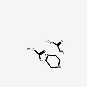 C1CNCCN1.CCOC(=O)C(N)=O.NC(=O)C(=O)O